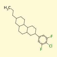 CCCC1CCC2C(CCC3CC(c4cc(F)c(Cl)c(F)c4)CCC32)C1